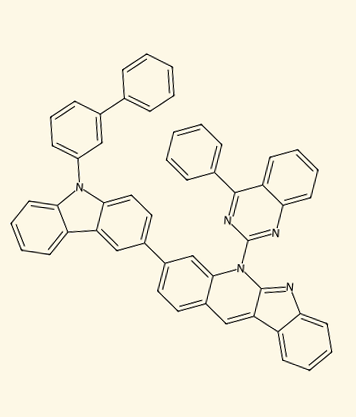 c1ccc(-c2cccc(-n3c4ccccc4c4cc(-c5ccc6cc7c8ccccc8nc-7n(-c7nc(-c8ccccc8)c8ccccc8n7)c6c5)ccc43)c2)cc1